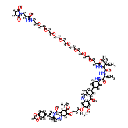 COc1cc2c(cc1OCCCOc1cc3c(cc1OC)C(=O)N1C=C(c4ccc5c(c4)OCO5)C[C@H]1C=N3)N=C[C@@H]1CC(c3ccc(NC(=O)[C@H](C)NC(=O)C(NC(=O)CCOCCOCCOCCOCCOCCOCCOCCOCCNC(=O)CCN4C(=O)C=CC4=O)C(C)C)cc3)=CC1C2=O